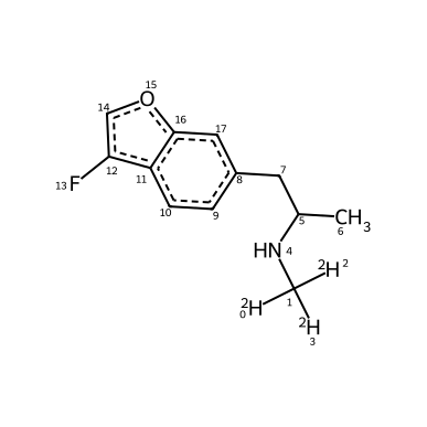 [2H]C([2H])([2H])NC(C)Cc1ccc2c(F)coc2c1